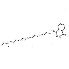 CCCCCCCCCCCCCCCCCOC(=O)C1CC=CCC1C(=O)OC